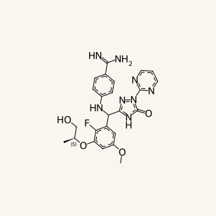 COc1cc(O[C@@H](C)CO)c(F)c(C(Nc2ccc(C(=N)N)cc2)c2nn(-c3ncccn3)c(=O)[nH]2)c1